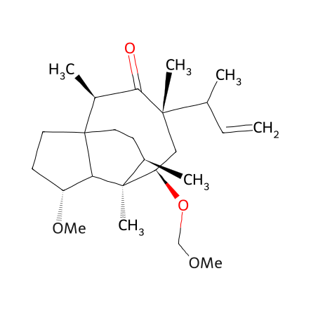 C=CC(C)[C@]1(C)C[C@@H](OCOC)[C@@]2(C)C3[C@H](OC)CCC3(CC[C@H]2C)[C@@H](C)C1=O